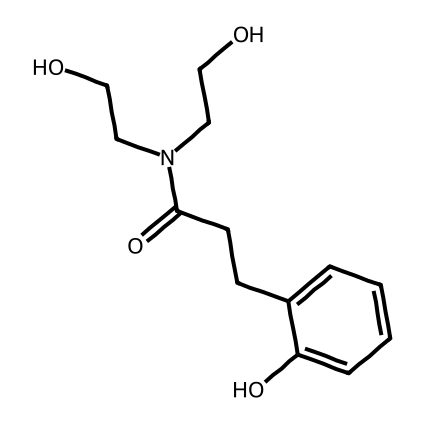 O=C(CCc1ccccc1O)N(CCO)CCO